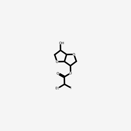 CCC(I)C(=O)OC1COC2C(O)COC12